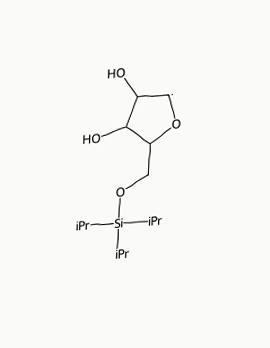 CC(C)[Si](OCC1O[CH]C(O)C1O)(C(C)C)C(C)C